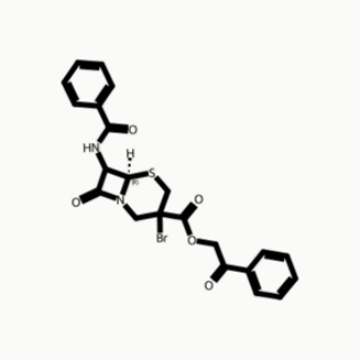 O=C(COC(=O)C1(Br)CS[C@@H]2C(NC(=O)c3ccccc3)C(=O)N2C1)c1ccccc1